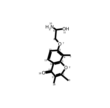 Cc1oc2c(C)c(OCC(N)O)ccc2c(=O)c1C